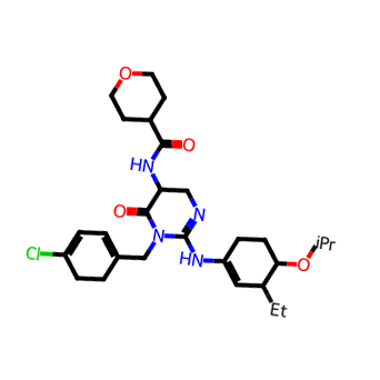 CCC1C=C(NC2=NCC(NC(=O)C3CCOCC3)C(=O)N2CC2=CC=C(Cl)CC2)CCC1OC(C)C